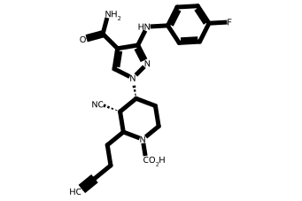 C#CCCC1[C@H](C#N)[C@H](n2cc(C(N)=O)c(Nc3ccc(F)cc3)n2)CCN1C(=O)O